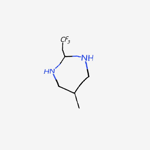 CC1CNC(C(F)(F)F)NC1